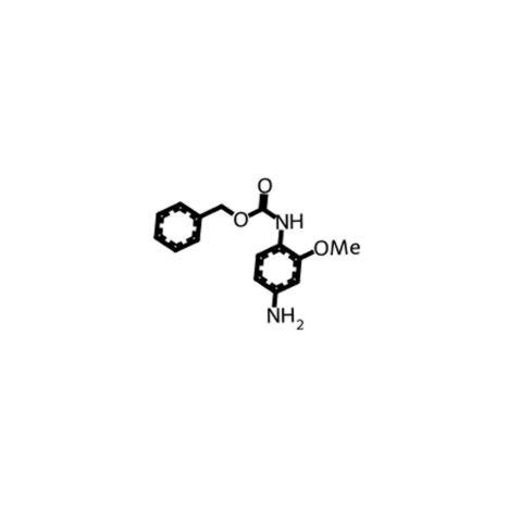 COc1cc(N)ccc1NC(=O)OCc1ccccc1